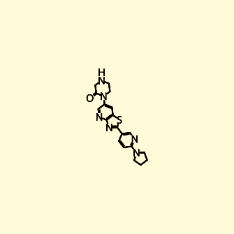 O=C1CNCCN1c1cnc2nc(-c3ccc(N4CCCC4)nc3)sc2c1